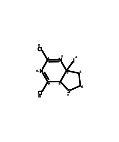 ClC1=NC2(I)CCSC2C(Cl)=N1